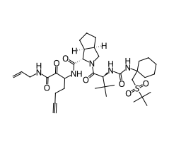 C#CCCC(NC(=O)[C@@H]1[C@H]2CCC[C@H]2CN1C(=O)[C@@H](NC(=O)NC1(CS(=O)(=O)C(C)(C)C)CCCCC1)C(C)(C)C)C(=O)C(=O)NCC=C